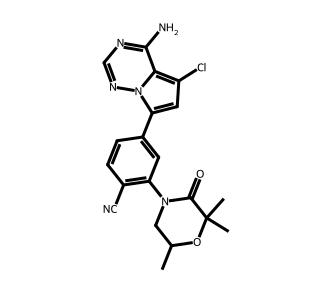 CC1CN(c2cc(-c3cc(Cl)c4c(N)ncnn34)ccc2C#N)C(=O)C(C)(C)O1